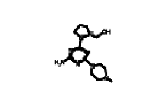 CN1CCN(c2cc(N3CCC[C@H]3CO)nc(N)n2)CC1